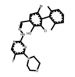 Cc1cccc(C)c1-c1c(Br)cc(/C=N\Nc2ncc(F)c(N3CCOCC3)n2)c(O)c1Cl